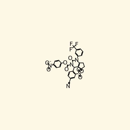 CS(=O)(=O)c1cc(C#N)ccc1C1C2=C(CCC2=O)N(c2cccc(C(F)(F)F)c2)C(=O)N1C(=O)Oc1ccc([N+](=O)[O-])cc1